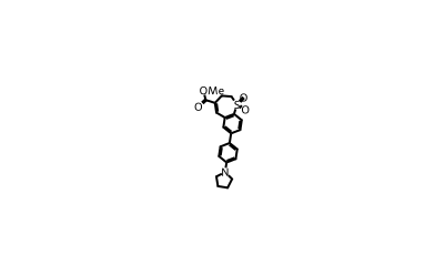 COC(=O)C1=Cc2cc(-c3ccc(N4CCCC4)cc3)ccc2S(=O)(=O)CC1